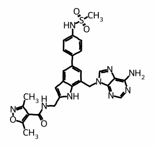 Cc1noc(C)c1C(=O)NCc1cc2cc(-c3ccc(NS(C)(=O)=O)cc3)cc(Cn3cnc4c(N)ncnc43)c2[nH]1